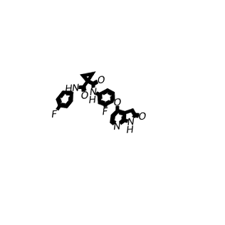 O=C1Cc2c(Oc3ccc(NC(=O)C4(C(=O)Nc5ccc(F)cc5)CC4)cc3F)ccnc2N1